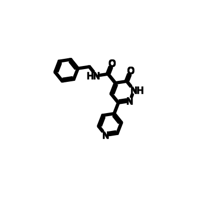 O=C(NCc1ccccc1)c1cc(-c2ccncc2)n[nH]c1=O